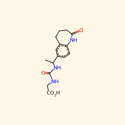 CC(NC(=O)NCC(=O)O)c1ccc2c(c1)CCCC(=O)N2